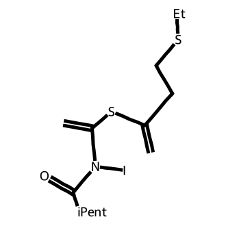 C=C(CCSCC)SC(=C)N(I)C(=O)C(C)CCC